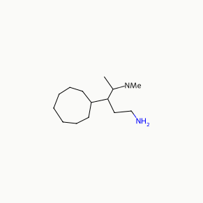 CNC(C)C(CCN)C1CCCCCCC1